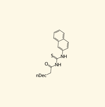 CCCCCCCCCCCC(=O)NC(=S)Nc1ccc2ccccc2c1